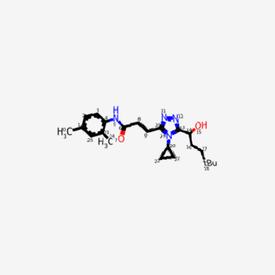 Cc1ccc(NC(=O)CCc2nnc(C(O)CCC(C)(C)C)n2C2CC2)c(C)c1